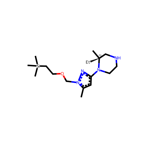 CC[C@@]1(C)CNCCN1c1cc(C)n(COCC[Si](C)(C)C)n1